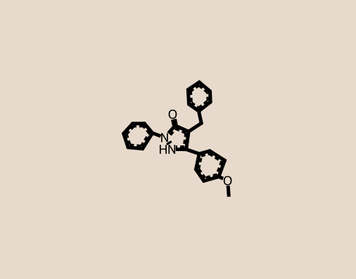 COc1ccc(-c2[nH]n(-c3ccccc3)c(=O)c2Cc2ccccc2)cc1